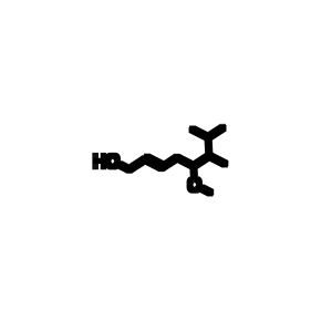 COC(C/C=C/CO)C(C)C(C)C